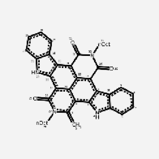 C=c1c2c3[nH]c4ccccc4c3c3c4c(c5c6ccccc6[nH]c5c(c(=O)n1CCCCCCCC)c42)C(=O)N(CCCCCCCC)C3=O